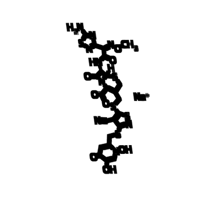 CO/N=C(\C(=O)N[C@@H]1C(=O)N2C(C(=O)[O-])=C(CSc3snc(SCc4cc(=O)c(O)cn4O)c3C#N)CS[C@@H]12)c1nsc(N)n1.[Na+]